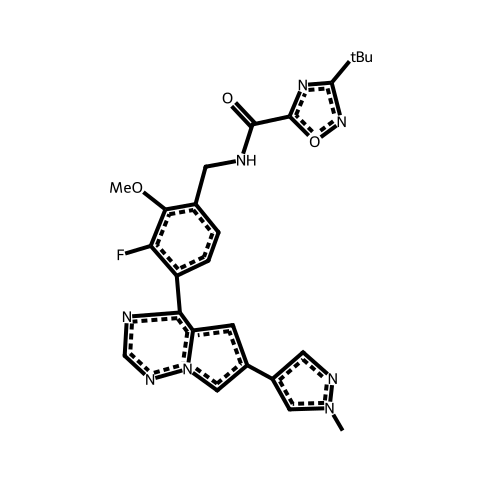 COc1c(CNC(=O)c2nc(C(C)(C)C)no2)ccc(-c2ncnn3cc(-c4cnn(C)c4)cc23)c1F